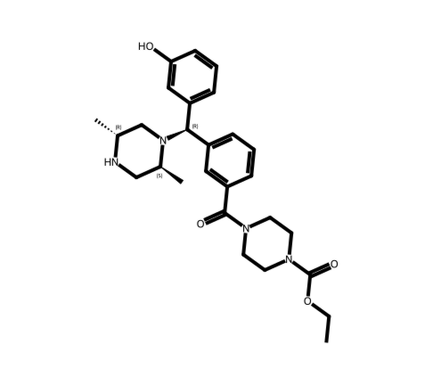 CCOC(=O)N1CCN(C(=O)c2cccc([C@H](c3cccc(O)c3)N3C[C@@H](C)NC[C@@H]3C)c2)CC1